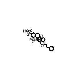 C[C@]12CC[C@@H]3c4c(cc(S(=O)(=O)O)cc4C(F)(F)F)CC[C@H]3[C@@H]1CC[C@@H]2C(=O)CCc1ccccc1